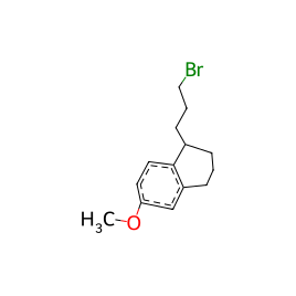 COc1ccc2c(c1)CCCC2CCCBr